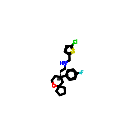 Fc1ccc([C@]2(CCNCc3ccc(Cl)s3)CCOC3(CCCC3)C2)cc1